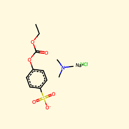 CCOC(=O)Oc1ccc(S(=O)(=O)[O-])cc1.CN(C)C.Cl.[Na+]